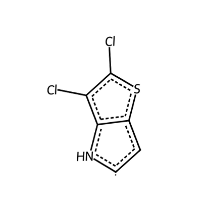 Clc1sc2c[c][nH]c2c1Cl